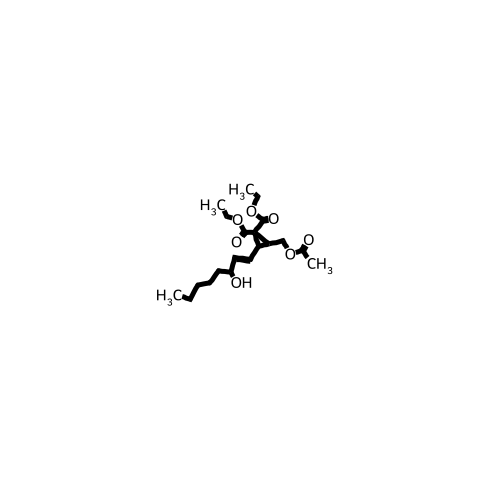 CCCCCC(O)C=CC1C(COC(C)=O)C1(C(=O)OCC)C(=O)OCC